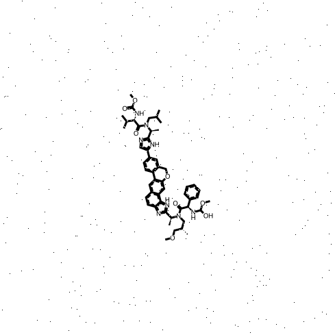 COC[C@@H](C)CN(C(=O)[C@H](NC(O)OC)c1ccccc1)[C@@H](C)c1nc2ccc3cc4c(cc3c2[nH]1)OCc1cc(-c2cnc([C@H](C)N(CC(C)C)C(=O)[C@@H](NC(=O)OC)C(C)C)[nH]2)ccc1-4